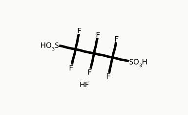 F.O=S(=O)(O)C(F)(F)C(F)(F)C(F)(F)S(=O)(=O)O